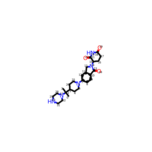 CC(C)(C1CCN(c2ccc3c(c2)CN(C2CCC(=O)NC2=O)C3=O)CC1)N1CCNCC1